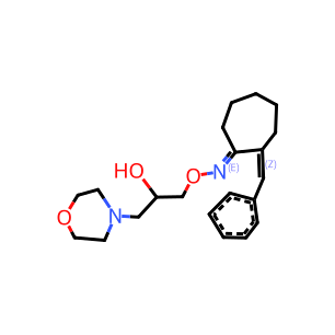 OC(CO/N=C1\CCCCC\C1=C\c1ccccc1)CN1CCOCC1